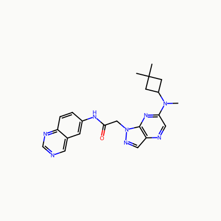 CN(c1cnc2cnn(CC(=O)Nc3ccc4ncncc4c3)c2n1)C1CC(C)(C)C1